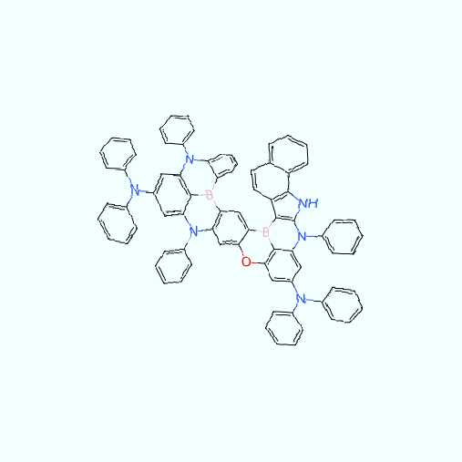 c1ccc(N(c2ccccc2)c2cc3c4c(c2)N(c2ccccc2)c2[nH]c5c(ccc6ccccc65)c2B4c2cc4c(cc2O3)N(c2ccccc2)c2cc(N(c3ccccc3)c3ccccc3)cc3c2B4c2ccccc2N3c2ccccc2)cc1